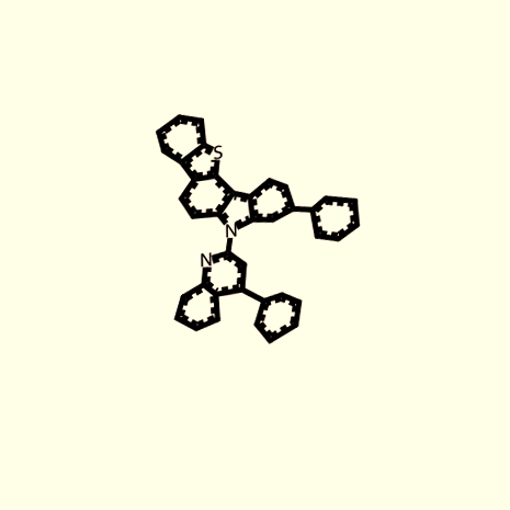 c1ccc(-c2ccc3c4c5sc6ccccc6c5ccc4n(-c4cc(-c5ccccc5)c5ccccc5n4)c3c2)cc1